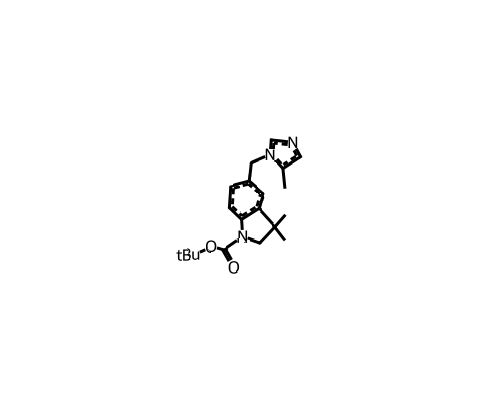 Cc1cncn1Cc1ccc2c(c1)C(C)(C)CN2C(=O)OC(C)(C)C